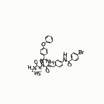 NC(=O)[C@@H](CS)NC(=O)[C@H](Cc1ccc(NC(=O)c2ccc(Br)cc2)cc1)NC(=O)c1ccc(Oc2ccccc2)cc1